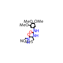 COc1cc(NC(=O)NC(CSC)C(=O)NCC#N)cc(OC)c1OC